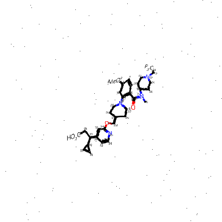 COc1ccc(C(=O)N(C)C2CCN(CC(F)(F)F)CC2)c(N2CCC(COc3cc(C(CC(=O)O)C4CC4)ccn3)CC2)c1